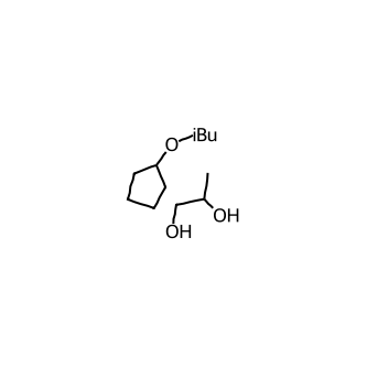 CC(O)CO.CCC(C)OC1CCCC1